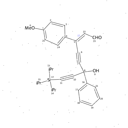 COc1ccc(/C(C#CC(O)(C#C[Si](C(C)C)(C(C)C)C(C)C)c2ccccc2)=C/C=O)cc1